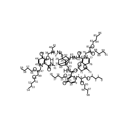 CCCCOCC(Cn1ccc(=O)c(OCCCC)c1C(=O)NC[C@]12CC3(CN)C[C@](CNC(=O)c4c(OCCCC)c(=O)ccn4CC(COCCCC)OCCCC)(C1)C[C@@](CNC(=O)c1c(OCCCC)c(=O)ccn1CC(COCCCC)OCCCC)(C3)C2)OCCCC